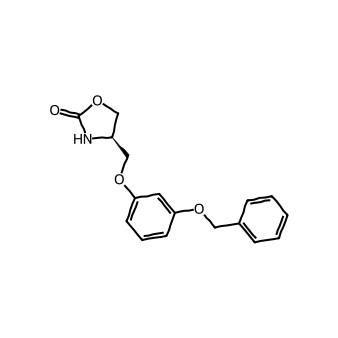 O=C1N[C@H](COc2cccc(OCc3ccccc3)c2)CO1